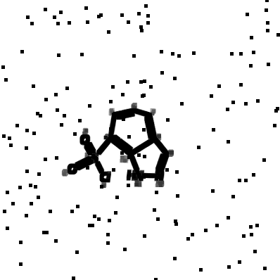 O=S(=O)(Cl)c1cccc2cn[nH]c12